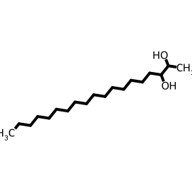 CCCCCCCCCCCCCCCCC(O)C(C)O